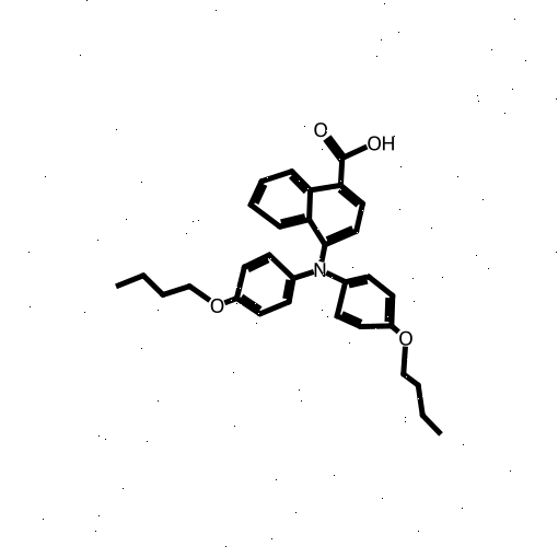 CCCCOc1ccc(N(c2ccc(OCCCC)cc2)c2ccc(C(=O)O)c3ccccc23)cc1